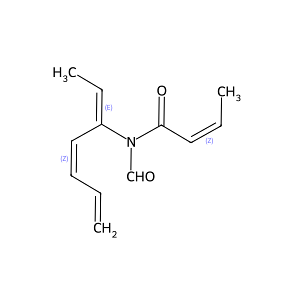 C=C/C=C\C(=C/C)N(C=O)C(=O)/C=C\C